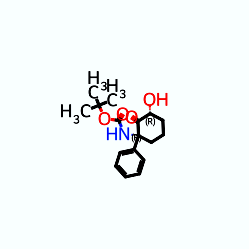 CC(C)(C)OC(=O)N[C@@]1(c2ccccc2)CCC[C@@H](O)C1=O